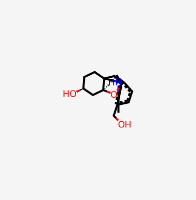 CN1CCC23CC[C@H](O)C[C@@H]2Oc2c(CO)ccc(c23)C1